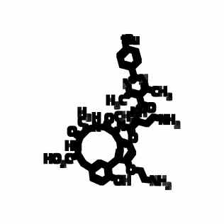 Cc1nc(-c2ccc(C(C)(C)C)cc2)nc(C)c1C(=O)NC(CCN)C(=O)N(C)C1C(=O)NC(C)C(=O)NC(C(=O)O)Cc2ccc(O)c(c2)-c2cc1ccc2OCCN